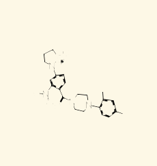 Cc1ccc(N2CCN(C(=O)c3ccc(N4CCCS4(=O)=O)cc3[N+](=O)[O-])CC2)c(C)c1